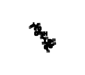 C=CC(C)(C)OC(=O)NCCC[Si](OC)(OC)OC